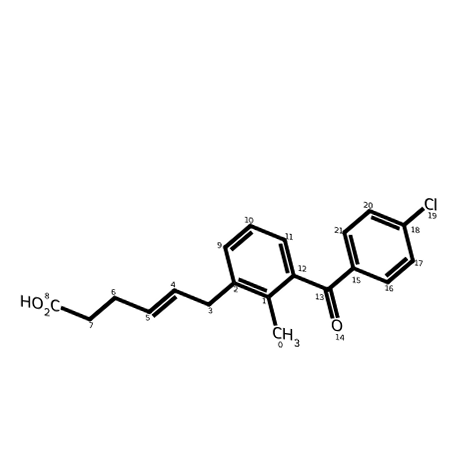 Cc1c(CC=CCCC(=O)O)cccc1C(=O)c1ccc(Cl)cc1